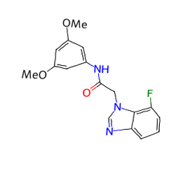 COc1cc(NC(=O)Cn2cnc3cccc(F)c32)cc(OC)c1